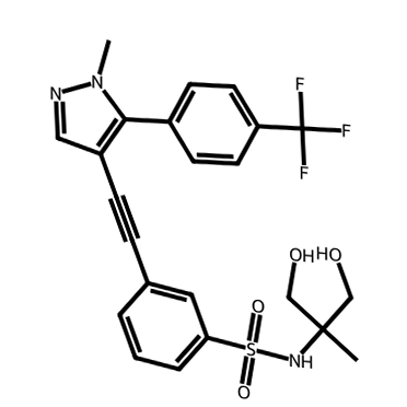 Cn1ncc(C#Cc2cccc(S(=O)(=O)NC(C)(CO)CO)c2)c1-c1ccc(C(F)(F)F)cc1